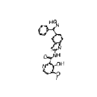 COc1ccnc(C(=O)Nc2nc3ccc(/C(=N/O)c4ccccc4)cc3s2)c1O